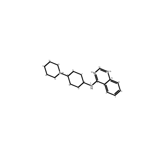 c1ccc2c(NC3CCC(N4CCCCC4)CC3)ncnc2c1